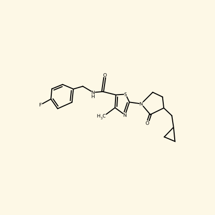 Cc1nc(N2CCC(CC3CC3)C2=O)sc1C(=O)NCc1ccc(F)cc1